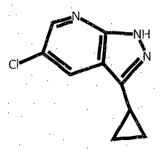 Clc1cnc2[nH]nc(C3CC3)c2c1